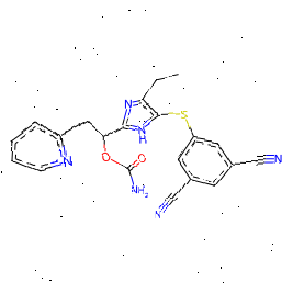 CCc1nc(C(Cc2ccccn2)OC(N)=O)[nH]c1Sc1cc(C#N)cc(C#N)c1